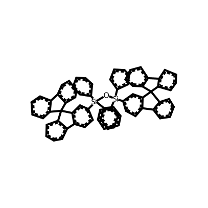 c1ccc([Si](O[Si](c2ccccc2)(c2ccccc2)c2ccc3c(c2)C2(c4ccccc4-c4ccccc42)c2ccccc2-3)(c2ccccc2)c2ccc3c(c2)C2(c4ccccc4-c4ccccc42)c2ccccc2-3)cc1